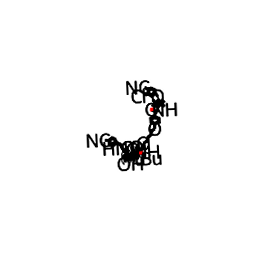 CC(C)(C)C(NC(=O)COCCCCOc1ccc(C(=O)N[C@H]2C(C)(C)[C@H](Oc3ccc(C#N)c(Cl)c3)C2(C)C)cc1)C(=O)N1C[C@H](O)C[C@H]1C(=O)NCc1ccc(C#N)cc1